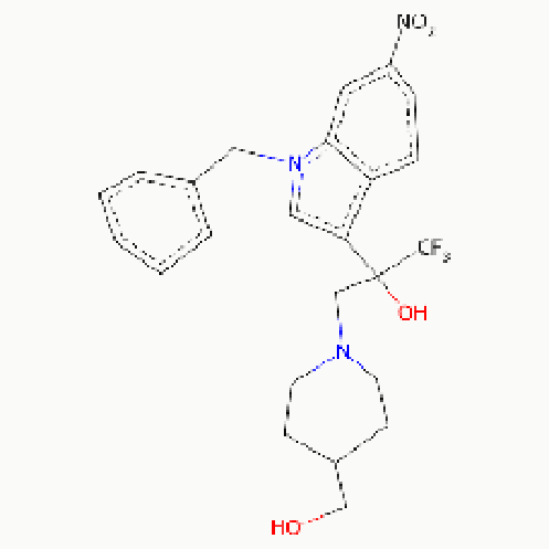 O=[N+]([O-])c1ccc2c(C(O)(CN3CCC(CO)CC3)C(F)(F)F)cn(Cc3ccccc3)c2c1